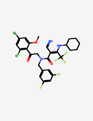 COc1cc(Cl)cc(Cl)c1C(=O)CN(Cc1cc(F)cc(F)c1)C(=O)/C(C=N)=C(/NC1CCCCC1)C(F)(F)F